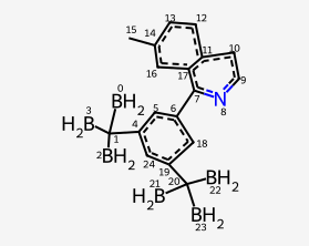 BC(B)(B)c1cc(-c2nccc3ccc(C)cc23)cc(C(B)(B)B)c1